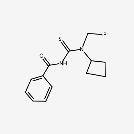 CC(C)CN(C(=S)NC(=O)c1ccccc1)C1CCC1